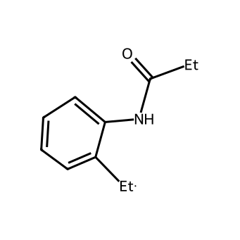 C[CH]c1ccccc1NC(=O)CC